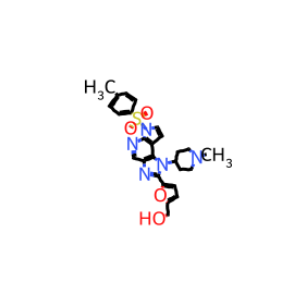 Cc1ccc(S(=O)(=O)n2ccc3c2ncc2nc(-c4ccc(CO)o4)n(C4CCN(C)CC4)c23)cc1